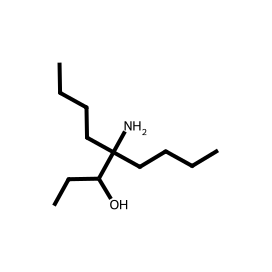 CCCCC(N)(CCCC)C(O)CC